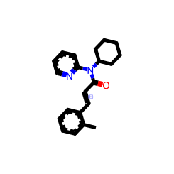 Cc1ccccc1/C=C/C(=O)N(c1ccccn1)C1CCCCC1